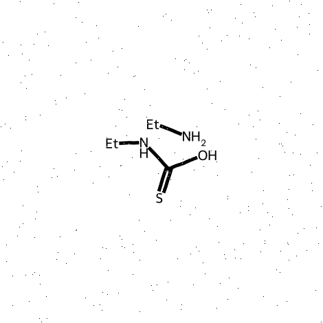 CCN.CCNC(O)=S